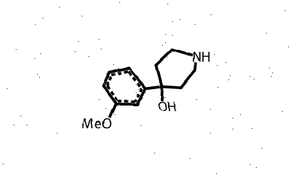 COc1cccc(C2(O)CCNCC2)c1